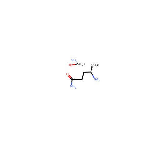 N.NC(=O)CC[C@H](N)C(=O)O.O=S(=O)(O)O